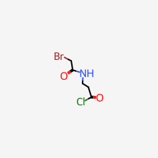 O=C(Cl)CCNC(=O)CBr